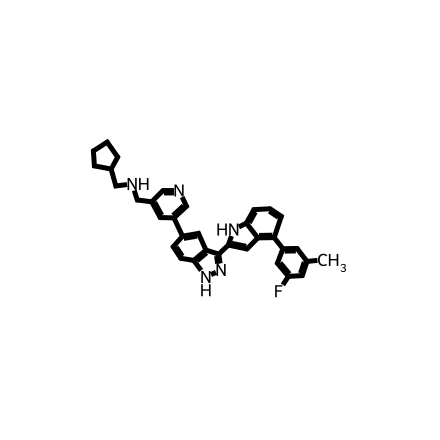 Cc1cc(F)cc(-c2cccc3[nH]c(-c4n[nH]c5ccc(-c6cncc(CNCC7CCCC7)c6)cc45)cc23)c1